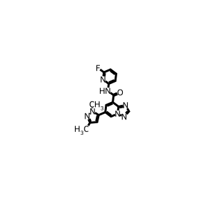 Cc1cc(-c2cc(C(=O)Nc3cccc(F)n3)c3ncnn3c2)n(C)n1